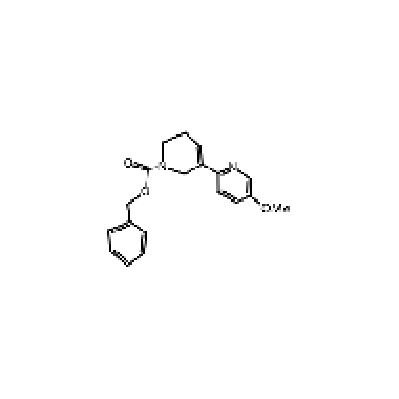 COc1ccc(C2=CCCN(C(=O)OCc3ccccc3)C2)nc1